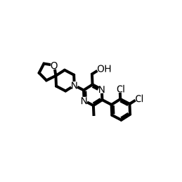 Cc1nc(N2CCC3(CCCO3)CC2)c(CO)nc1-c1cccc(Cl)c1Cl